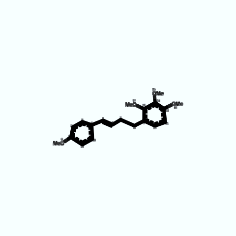 COc1ccc(C=CCCc2[c]cc(OC)c(OC)c2OC)cc1